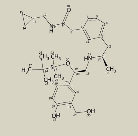 C[C@H](Cc1cccc(CC(=O)NCC2CC2)c1)NC[C@H](O[Si](C)(C)C(C)(C)C)c1ccc(O)c(CO)c1